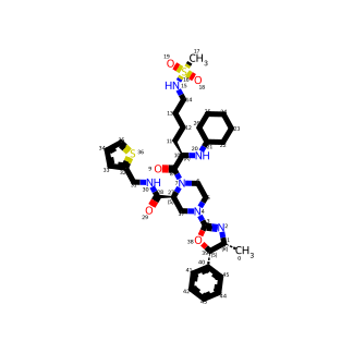 C[C@H]1N=C(N2CCN(C(=O)[C@@H](CCCCNS(C)(=O)=O)NC3CCCCC3)[C@H](C(=O)NCc3cccs3)C2)O[C@H]1c1ccccc1